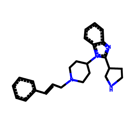 C(=C\c1ccccc1)/CN1CCC(n2c(C3CCNC3)nc3ccccc32)CC1